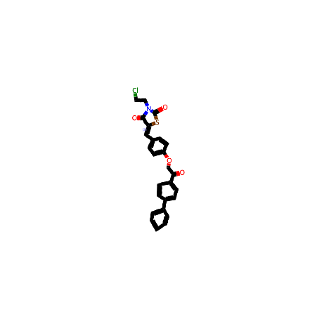 O=C(COc1ccc(/C=C2\SC(=O)N(CCCl)C2=O)cc1)c1ccc(-c2ccccc2)cc1